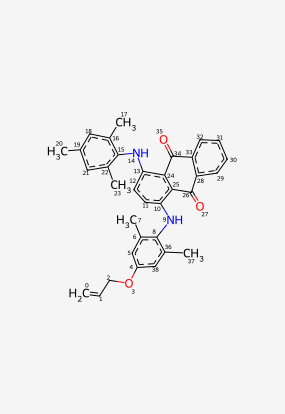 C=CCOc1cc(C)c(Nc2ccc(Nc3c(C)cc(C)cc3C)c3c2C(=O)c2ccccc2C3=O)c(C)c1